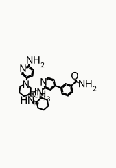 C[C@]1(N[C@@H]2CCCC[C@H]2Nc2cc(-c3cccc(C(N)=O)c3)ccn2)CCCN(c2ccc(N)nc2)C1